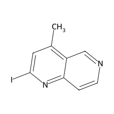 Cc1cc(I)nc2ccncc12